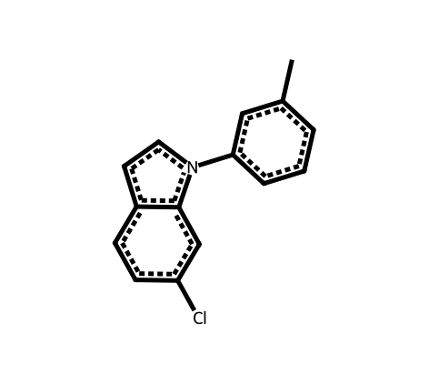 Cc1cccc(-n2ccc3ccc(Cl)cc32)c1